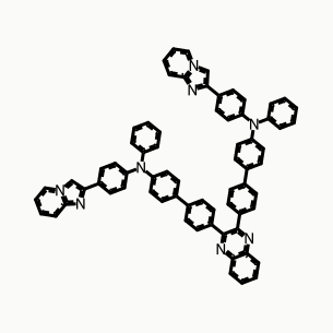 c1ccc(N(c2ccc(-c3ccc(-c4nc5ccccc5nc4-c4ccc(-c5ccc(N(c6ccccc6)c6ccc(-c7cn8ccccc8n7)cc6)cc5)cc4)cc3)cc2)c2ccc(-c3cn4ccccc4n3)cc2)cc1